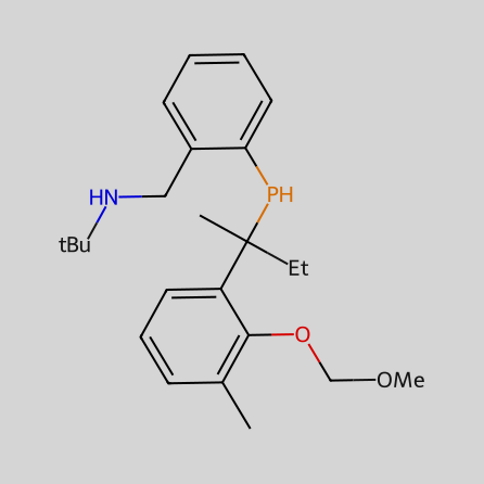 CCC(C)(Pc1ccccc1CNC(C)(C)C)c1cccc(C)c1OCOC